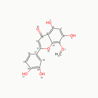 COc1c(O)cc(O)c2c(=O)cc(-c3ccc(O)c(O)c3)oc12